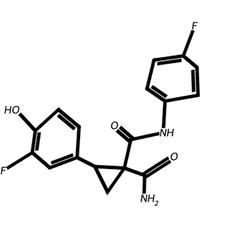 NC(=O)C1(C(=O)Nc2ccc(F)cc2)CC1c1ccc(O)c(F)c1